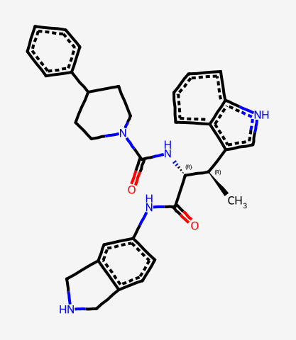 C[C@H](c1c[nH]c2ccccc12)[C@@H](NC(=O)N1CCC(c2ccccc2)CC1)C(=O)Nc1ccc2c(c1)CNC2